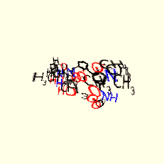 COc1c(CN2O[C@@H](CO)[C@H]([C@H](C)O)[C@H]2C(=O)NC2C[C@H]3C[C@@H]([C@@H]2C)C3(C)C)cccc1-c1cc(C(=O)N[C@H]2CCOC2=O)cc(N(C)C)c1OC